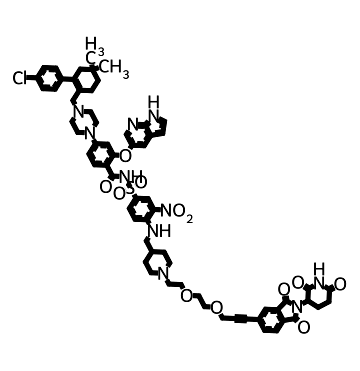 CC1(C)CCC(CN2CCN(c3ccc(C(=O)NS(=O)(=O)c4ccc(NCC5CCN(CCOCCOCC#Cc6ccc7c(c6)C(=O)N(C6CCC(=O)NC6=O)C7=O)CC5)c([N+](=O)[O-])c4)c(Oc4cnc5[nH]ccc5c4)c3)CC2)=C(c2ccc(Cl)cc2)C1